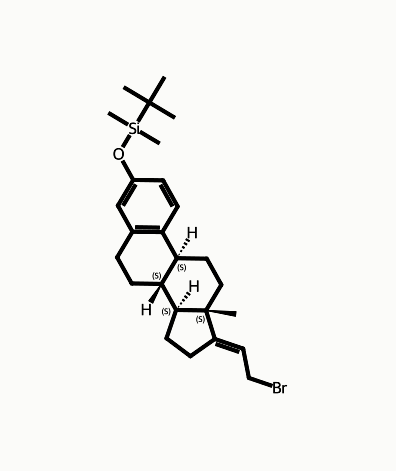 CC(C)(C)[Si](C)(C)Oc1ccc2c(c1)CC[C@@H]1[C@@H]2CC[C@]2(C)C(=CCBr)CC[C@@H]12